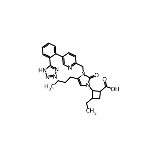 CCCCc1cn(C2C(CC)CC2C(=O)O)c(=O)n1Cc1ccc(-c2ccccc2-c2nnn[nH]2)cn1